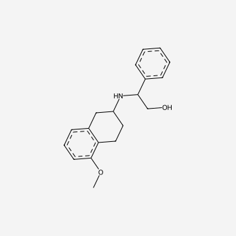 COc1cccc2c1CCC(NC(CO)c1ccccc1)C2